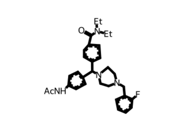 CCN(CC)C(=O)c1ccc(C(c2ccc(NC(C)=O)cc2)N2CCN(Cc3ccccc3F)CC2)cc1